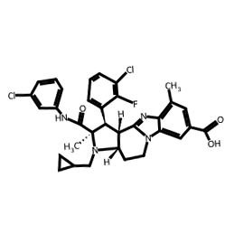 Cc1cc(C(=O)O)cc2c1nc1n2CC[C@H]2[C@@H]1[C@H](c1cccc(Cl)c1F)[C@](C)(C(=O)Nc1cccc(Cl)c1)N2CC1CC1